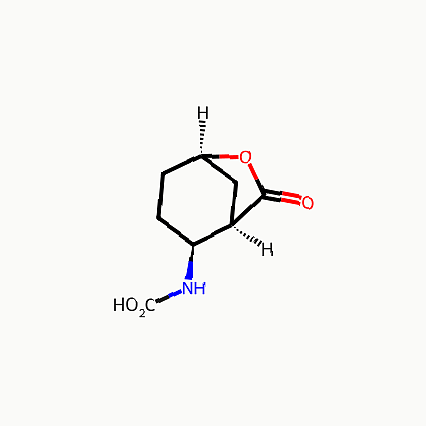 O=C(O)N[C@H]1CC[C@@H]2C[C@H]1C(=O)O2